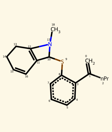 C=C(CCC)c1ccccc1SC1C2=C(CCC=C2)N1C